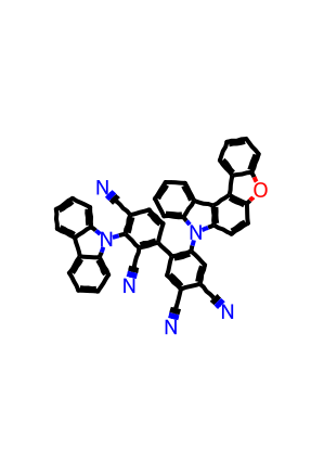 N#Cc1cc(-c2ccc(C#N)c(-n3c4ccccc4c4ccccc43)c2C#N)c(-n2c3ccccc3c3c4c(ccc32)oc2ccccc24)cc1C#N